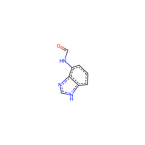 O=CNc1cccc2[nH][c]nc12